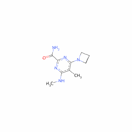 CNc1nc(C(N)=O)nc(N2CCC2)c1C